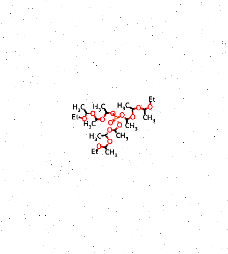 CCOC(C)OC(C)OC(C)OP(=O)(OC(C)OC(C)OC(C)OCC)OC(C)OC(C)OC(C)OCC